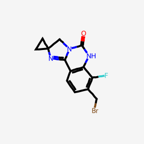 O=C1Nc2c(ccc(CBr)c2F)C2=NC3(CC3)CN12